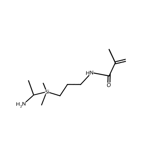 C=C(C)C(=O)NCCC[Si](C)(C)C(C)N